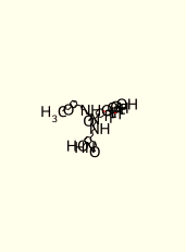 CCOc1cccc(CCNCCC(=O)N(CCNCCc2ccc(O)c3[nH]c(=O)ccc23)C2CCCCCC2)c1.O=C(O)C(F)(F)F.O=C(O)C(F)(F)F